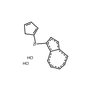 C1=CC[C]([Zr][c]2ccc3cccccc2-3)=C1.Cl.Cl